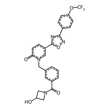 O=C(c1cccc(Cn2cc(-c3nc(-c4ccc(OC(F)(F)F)cc4)no3)ccc2=O)c1)N1CC(O)C1